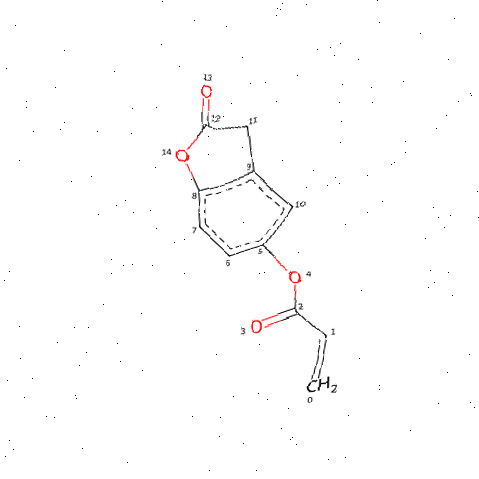 C=CC(=O)Oc1ccc2c(c1)CC(=O)O2